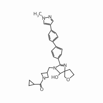 Cn1cc(-c2ccc(-c3ccc(C4=NC5(CCOC5)C(O)N4CC4CN(C(=O)C5CC5)C4)cc3)cc2)cn1